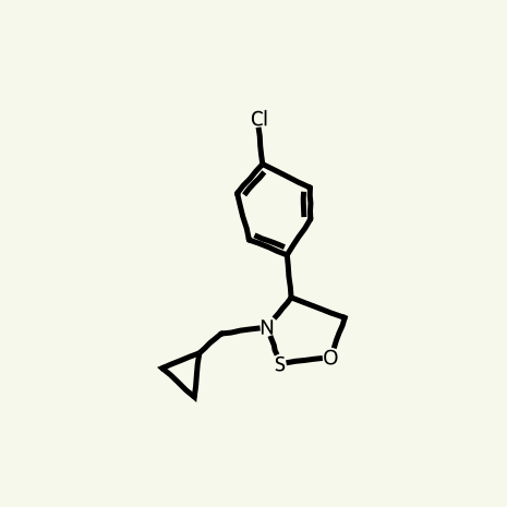 Clc1ccc(C2COSN2CC2CC2)cc1